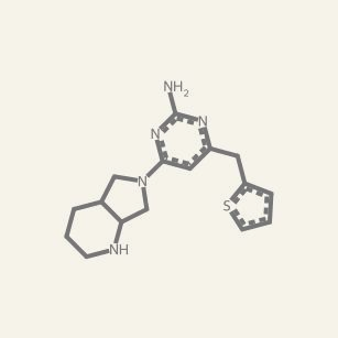 Nc1nc(Cc2cccs2)cc(N2CC3CCCNC3C2)n1